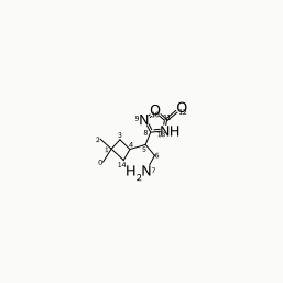 CC1(C)CC(C(CN)c2noc(=O)[nH]2)C1